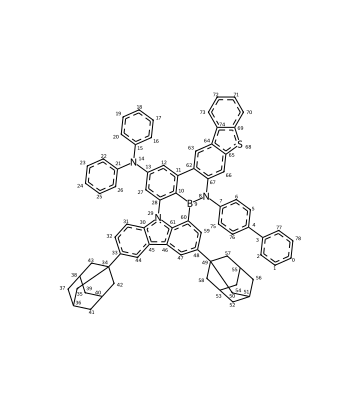 c1ccc(-c2ccc(N3B4c5c(cc(N(c6ccccc6)c6ccccc6)cc5-n5c6ccc(C78CC9CC(CC(C9)C7)C8)cc6c6cc(C78CC9CC(CC(C9)C7)C8)cc4c65)-c4cc5c(cc43)sc3ccccc35)cc2)cc1